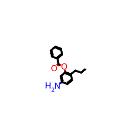 CCCc1ccc(N)cc1OC(=O)c1ccccc1